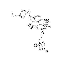 Cc1cc(OCCCS(C)(=O)=O)cc(C)c1-c1c(C#N)ccc2c1CCC2Oc1ccc(C2CC2)cc1